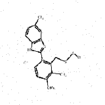 CCSSCc1c(C)c(OC)cc[n+]1-c1nc2cc(C(F)(F)F)ccc2[nH]1.[Cl-]